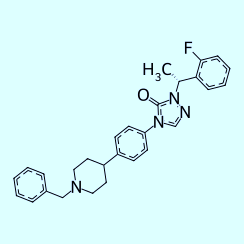 C[C@H](c1ccccc1F)n1ncn(-c2ccc(C3CCN(Cc4ccccc4)CC3)cc2)c1=O